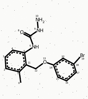 Cc1cccc(NC(=O)NN)c1COc1cccc(Br)c1